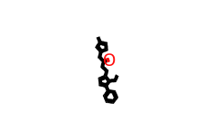 CCC1C(CCC(=O)CC2=CC(C)=CC2)=CC=C1c1ccccc1